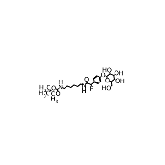 CC(C)(C)OC(=O)NCCCCCCNC(=O)C(F)c1ccc(OC2OC(CO)C(O)C(O)C2O)cc1